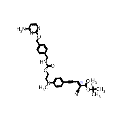 CN(CCOC(=O)NCc1ccc(COc2nccc(N)n2)cc1)c1ccc(C#C/C=C(\C#N)C(=O)OC(C)(C)C)cc1